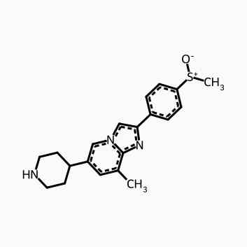 Cc1cc(C2CCNCC2)cn2cc(-c3ccc([S+](C)[O-])cc3)nc12